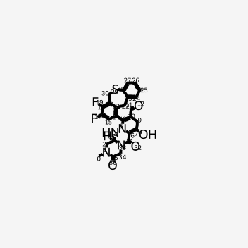 CN1C[C@H]2NN3C(=C(O)CC(C=O)=C3c3cc(F)c(F)c4c3Cc3ccccc3SC4)C(=O)N2CC1=O